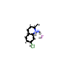 Cc1ccc2ccc(Cl)cc2[n+]1C.[I-]